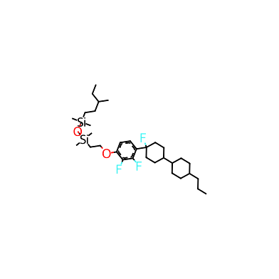 CCCC1CCC(C2CCC(F)(c3ccc(OCC[Si](C)(C)O[Si](C)(C)CCC(C)CC)c(F)c3F)CC2)CC1